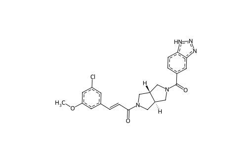 COc1cc(Cl)cc(/C=C/C(=O)N2C[C@@H]3CN(C(=O)c4ccc5[nH]nnc5c4)C[C@H]3C2)c1